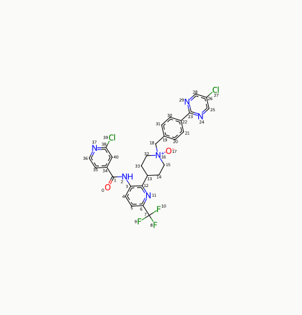 O=C(Nc1ccc(C(F)(F)F)nc1C1CC[N+]([O-])(Cc2ccc(-c3ncc(Cl)cn3)cc2)CC1)c1ccnc(Cl)c1